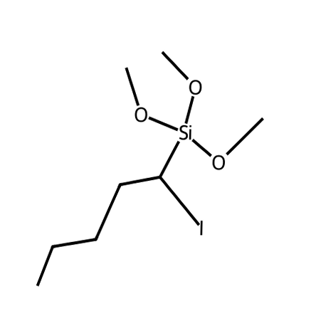 CCCCC(I)[Si](OC)(OC)OC